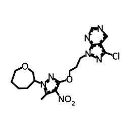 Cc1c([N+](=O)[O-])c(OCCCn2nc(Cl)c3cncnc32)nn1C1CCCCOC1